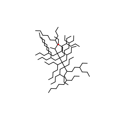 CCCCCC(CCC)C[C](CCC(CC)CCC)C(CCC)(CC(CCC)CCC)C(CC(CCC)CCCCC)(C(CCC)CCCC)C(CCCC(CC)CC)(CC(CCC)CCCCC)C(CCC(CC)CCC)(CC(CCC)CCCCC)C(C)CC(CCC)CCCCC